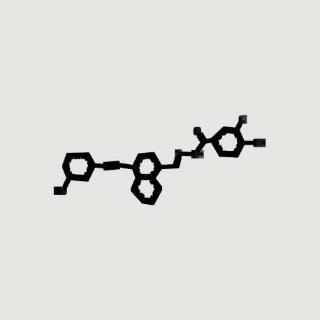 O=C(N/N=C/c1ccc(C#Cc2cccc(O)c2)c2ccccc12)c1ccc(O)c(Cl)c1